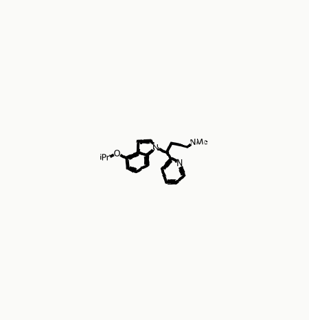 CNCCC(c1ccccn1)n1ccc2c(OC(C)C)cccc21